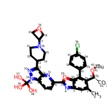 Cc1cc2nc(-c3ccc4c(n3)c(C3CCN(C5COC5)CC3)nn4C(O)(O)O)oc2c(-c2ccc(Cl)cc2)c1[C@H](OC(C)(C)C)C(=O)O